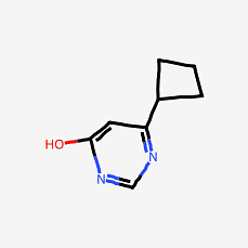 Oc1cc(C2CCC2)ncn1